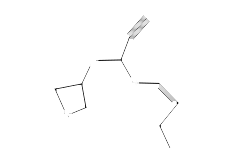 C#CC(N/C=C\CC)OC1CNC1